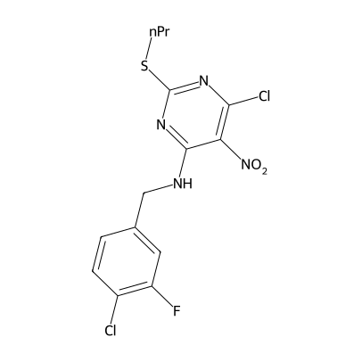 CCCSc1nc(Cl)c([N+](=O)[O-])c(NCc2ccc(Cl)c(F)c2)n1